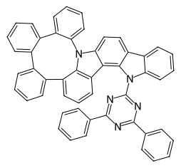 c1ccc(-c2nc(-c3ccccc3)nc(-n3c4ccccc4c4ccc5c(c6cccc7c8ccccc8c8ccccc8c8ccccc8n5c76)c43)n2)cc1